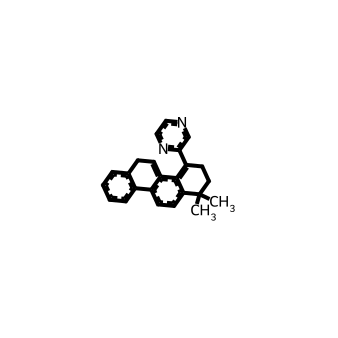 CC1(C)CCC(c2cnccn2)=c2c1ccc1c2=CCc2ccccc2-1